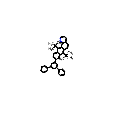 CC(C)(C)c1c2cc(-c3cc(-c4ccccc4)cc(-c4ccccc4)c3)ccc2c(C(C)(C)C)c2c1ccc1cccnc12